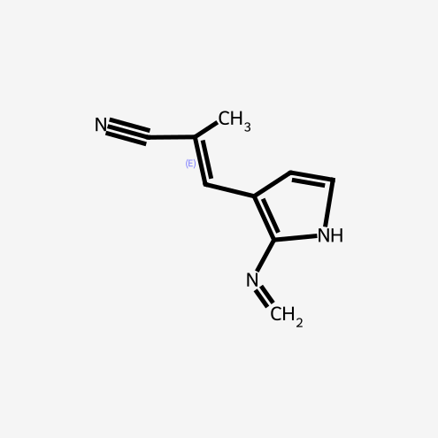 C=Nc1[nH]ccc1/C=C(\C)C#N